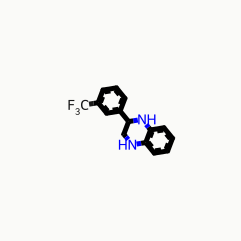 FC(F)(F)c1cccc(C2CNc3ccccc3N2)c1